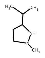 CC(C)C1CCN(C)N1